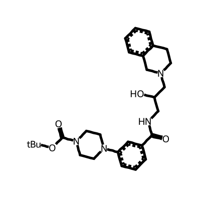 CC(C)(C)OC(=O)N1CCN(c2cccc(C(=O)NCC(O)CN3CCc4ccccc4C3)c2)CC1